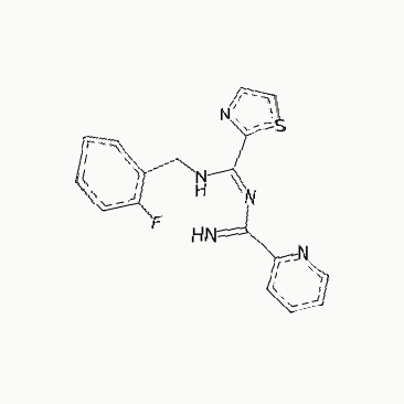 N=C(/N=C(\NCc1ccccc1F)c1nccs1)c1ccccn1